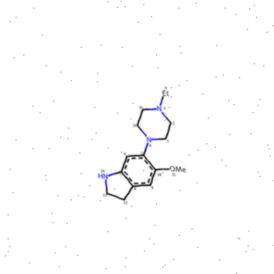 CCN1CCN(c2cc3c(cc2OC)CCN3)CC1